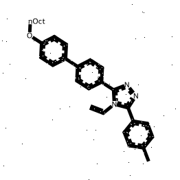 C=Cn1c(-c2ccc(C)cc2)nnc1-c1ccc(-c2ccc(OCCCCCCCC)cc2)cc1